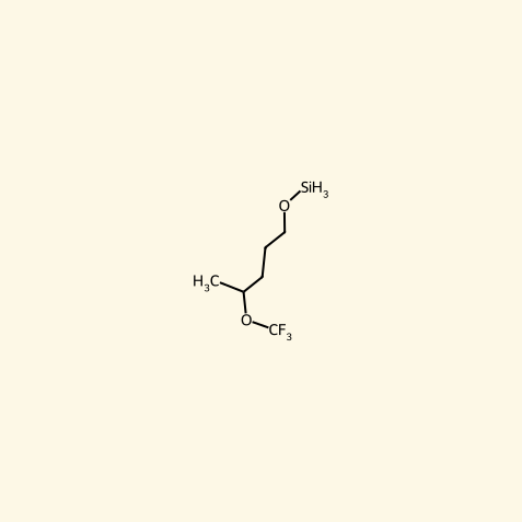 CC(CCCO[SiH3])OC(F)(F)F